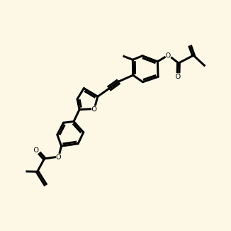 C=C(C)C(=O)Oc1ccc(-c2ccc(C#Cc3ccc(OC(=O)C(=C)C)cc3C)o2)cc1